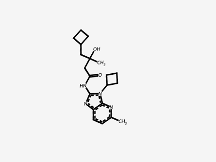 Cc1ccc2nc(NC(=O)CC(C)(O)CC3CCC3)n(C3CCC3)c2n1